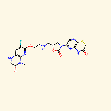 CN1C(=O)CNc2cc(F)c(OCCNCC3CN(c4cnc5c(n4)NC(=O)CS5)C(=O)O3)nc21